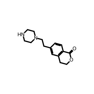 O=C1OCCc2cc(CCN3CCNCC3)ccc21